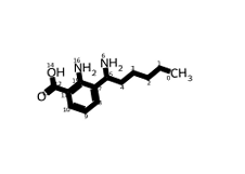 CCCCCC(N)c1cccc(C(=O)O)c1N